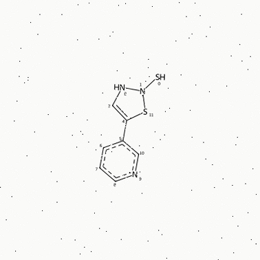 SN1NC=C(c2cccnc2)S1